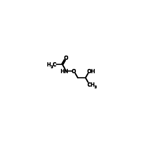 CC(=O)NOCC(C)O